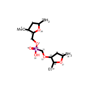 BC1CC(OC)C(COP(=O)(O)COC2CC(B)OC2CC)O1